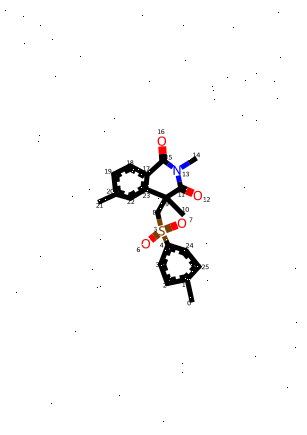 Cc1ccc(S(=O)(=O)CC2(C)C(=O)N(C)C(=O)c3ccc(C)cc32)cc1